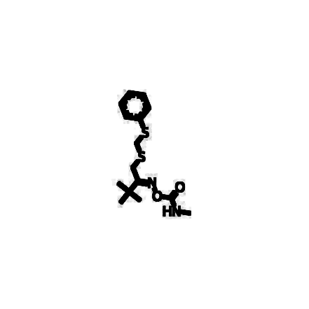 CNC(=O)ON=C(CSCSc1ccccc1)C(C)(C)C